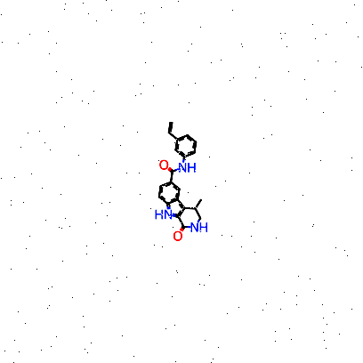 C=Cc1cccc(NC(=O)c2ccc3[nH]c4c(c3c2)C(C)CNC4=O)c1